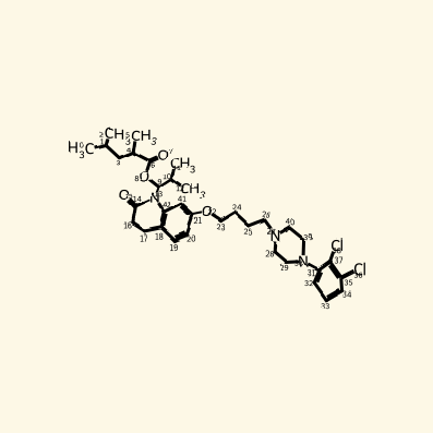 CC(C)CC(C)C(=O)OC(C(C)C)N1C(=O)CCc2ccc(OCCCCN3CCN(c4cccc(Cl)c4Cl)CC3)cc21